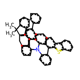 CC1(C)C2=C(C(c3ccccc3N(c3ccccc3-c3ccc(-c4ccccc4)cc3)c3ccccc3-c3cccc4c3sc3ccccc34)=CCC2)c2ccccc21